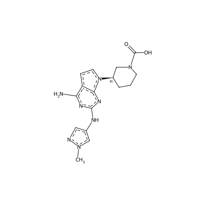 Cn1cc(Nc2nc(N)c3ccn([C@@H]4CCCN(C(=O)O)C4)c3n2)cn1